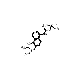 CCN(CC)Cc1ccc2c(NC(=O)OC(C)(C)C)cccc2c1O